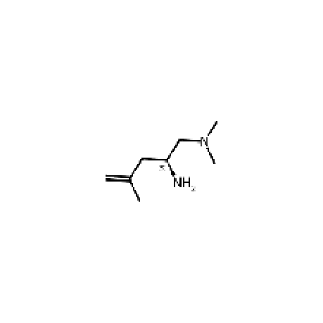 C=C(C)C[C@H](N)CN(C)C